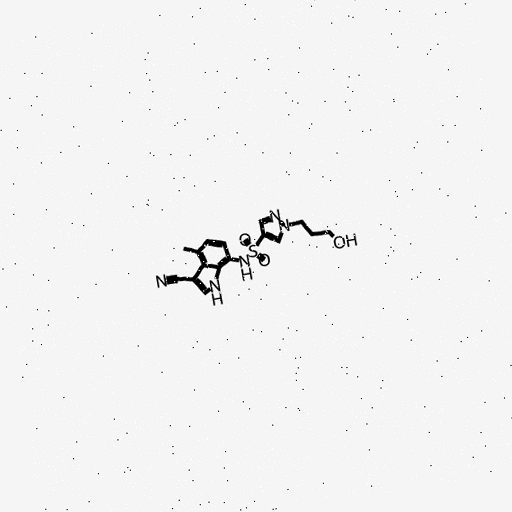 Cc1ccc(NS(=O)(=O)c2cnn(CCCO)c2)c2[nH]cc(C#N)c12